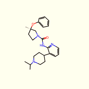 CC(C)N1CCC(c2cccnc2NC(=O)N2CC[C@@](C)(Oc3ccccc3)C2)CC1